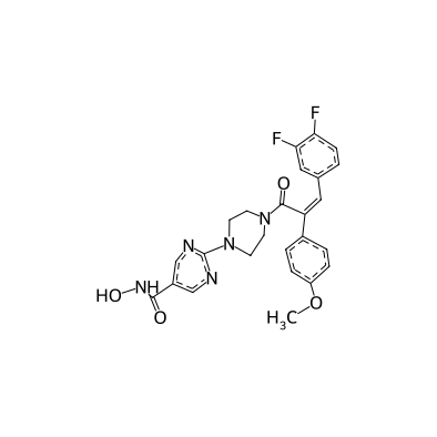 COc1ccc(C(=Cc2ccc(F)c(F)c2)C(=O)N2CCN(c3ncc(C(=O)NO)cn3)CC2)cc1